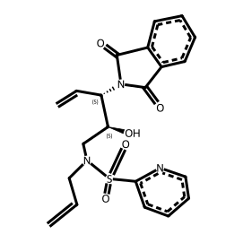 C=CCN(C[C@H](O)[C@H](C=C)N1C(=O)c2ccccc2C1=O)S(=O)(=O)c1ccccn1